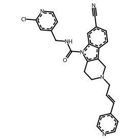 N#Cc1ccc2c3c(n(C(=O)NCc4ccnc(Cl)c4)c2c1)CCN(CC=Cc1ccncc1)C3